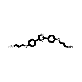 CCCC=CCOc1ccc(-c2cnc(-c3ccc(OCC=CCCC)cc3)s2)cc1